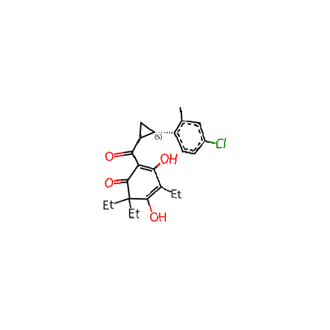 CCC1=C(O)C(CC)(CC)C(=O)C(C(=O)C2C[C@@H]2c2ccc(Cl)cc2C)=C1O